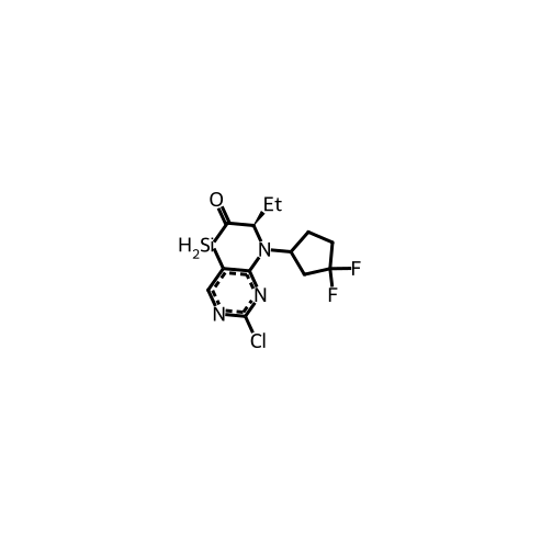 CC[C@@H]1C(=O)[SiH2]c2cnc(Cl)nc2N1C1CCC(F)(F)C1